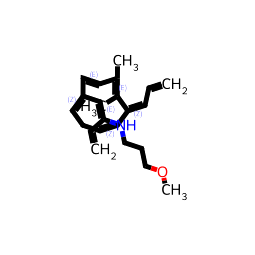 C=C/C=C1/C=C\C/C=C(\C=C(/C=C)NCCCOC)/C=C/C(C)=C/1C